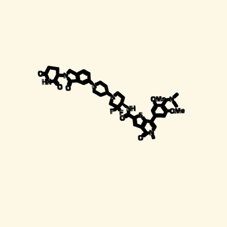 COc1cc(-c2cn(C)c(=O)c3cc(C(=O)N[C@@H]4CCN(C5CCN(c6ccc7c(c6)C(=O)N(C6CCC(=O)NC6=O)C7)CC5)CC4(F)F)sc23)cc(OC)c1CN(C)C